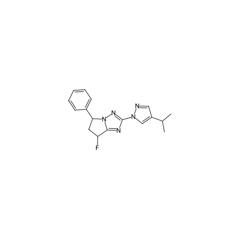 CC(C)c1cnn(-c2nc3n(n2)C(c2ccccc2)CC3F)c1